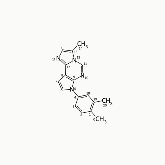 Cc1ccc(-n2ccc3c2ncn2c(C)cnc32)cc1C